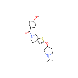 COc1ccc(C(=O)N2CCc3cc(OC4CCN(C(C)C)CC4)sc3C2)cc1